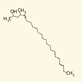 CCCCCCCCCCCCCCCCCCSC(C)CC(C)O